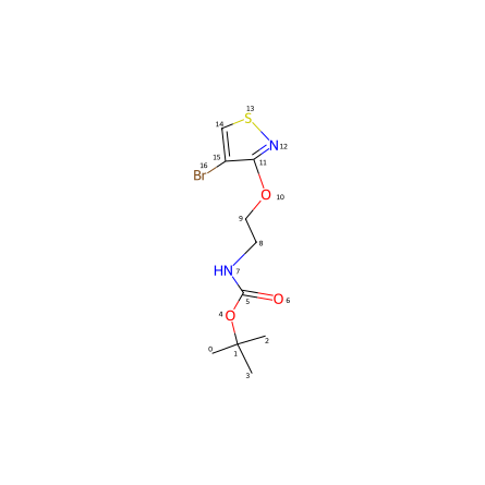 CC(C)(C)OC(=O)NCCOc1nscc1Br